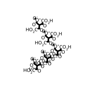 O=C(O)C(=O)C(C(=O)C(=O)O)C([O-])=[O+][O-].O=C(O)C(=O)C(C(=O)C(=O)O)C([O-])=[O+][O-].O=C(O)C(=O)C(C(=O)C(=O)O)C([O-])=[O+][O-].O=C(O)C(=O)C(C(=O)C(=O)O)C([O-])=[O+][O-].O=C(O)C(=O)C(C(=O)C(=O)O)C([O-])=[O+][O-].[V+5]